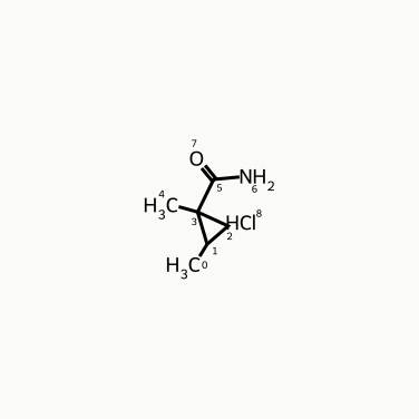 CC1CC1(C)C(N)=O.Cl